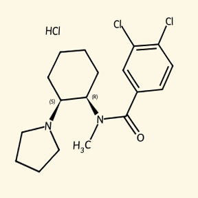 CN(C(=O)c1ccc(Cl)c(Cl)c1)[C@@H]1CCCC[C@@H]1N1CCCC1.Cl